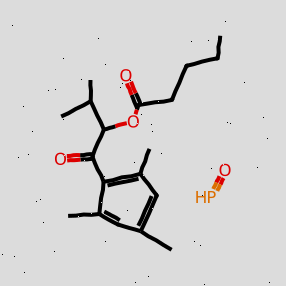 CCCCC(=O)OC(C(=O)c1c(C)cc(C)cc1C)C(C)C.O=P